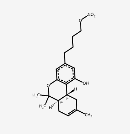 CC1=CC[C@@H]2[C@@H](C1)c1c(O)cc(CCCCO[N+](=O)[O-])cc1OC2(C)C